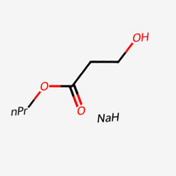 CCCOC(=O)CCO.[NaH]